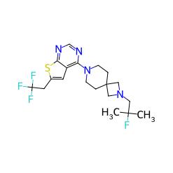 CC(C)(F)CN1CC2(CCN(c3ncnc4sc(CC(F)(F)F)cc34)CC2)C1